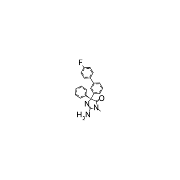 CN1C(=O)[C@@](c2ccccc2)(c2cccc(-c3ccc(F)cc3)c2)N=C1N